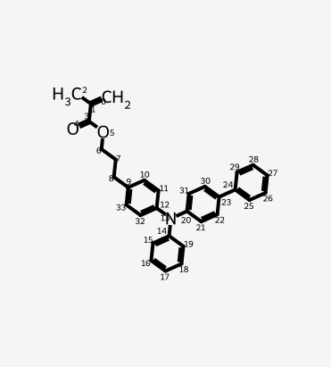 C=C(C)C(=O)OCCCc1ccc(N(c2ccccc2)c2ccc(-c3ccccc3)cc2)cc1